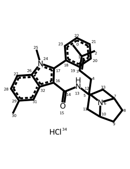 CC(C)=CCCN1C2CCC1CC(NC(=O)c1c(-c3ccccc3)n(C)c3ccc(C)cc13)C2.Cl